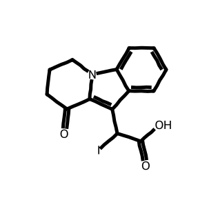 O=C1CCCn2c1c(C(I)C(=O)O)c1ccccc12